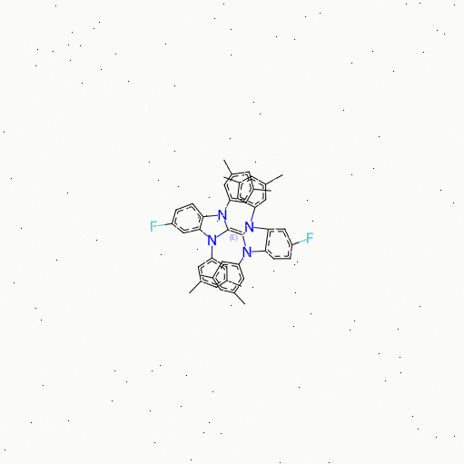 Cc1cc(C)cc(N2/C(=C3/N(c4cc(C)cc(C)c4)c4ccc(F)cc4N3c3cc(C)cc(C)c3)N(c3cc(C)cc(C)c3)c3cc(F)ccc32)c1